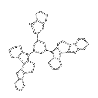 c1ccc2ncc(-c3cc(-n4c5ccccc5c5c6sc7ccccc7c6ccc54)cc(-n4c5ccccc5c5c6sc7ccccc7c6ccc54)c3)cc2c1